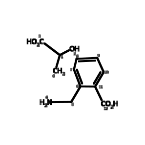 CC(O)C(=O)O.NCc1ccccc1C(=O)O